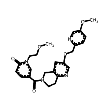 COCCn1cc(C(=O)N2CCc3ncc(OCc4ccc(OC)cn4)cc3C2)ccc1=O